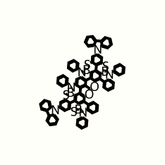 c1ccc(N2B3Sc4cc(-n5c6ccccc6c6ccccc65)cc5c4-c4c3c(c3c6c4B(S5)N(c4ccccc4)c4cc5c7c(c4-6)C(O3)Oc3c4c6c8c(c3-7)B(Sc3cc(-n7c9ccccc9c9ccccc97)cc(c3-8)SB6N(c3ccccc3)c3ccccc3-4)N5c3ccccc3)-c3ccccc32)cc1